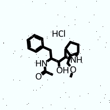 COCC1C2CCC1C(C(O)C(Cc1ccccc1)NC(C)=O)N2.Cl